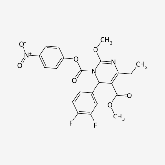 CCC1=C(C(=O)OC)C(c2ccc(F)c(F)c2)N(C(=O)Oc2ccc([N+](=O)[O-])cc2)C(OC)=N1